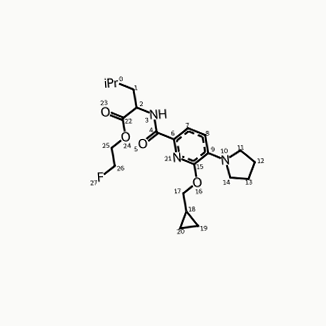 CC(C)CC(NC(=O)c1ccc(N2CCCC2)c(OCC2CC2)n1)C(=O)OCCF